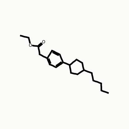 CCCCCC1CCC(c2ccc(CC(=O)OCC)cc2)CC1